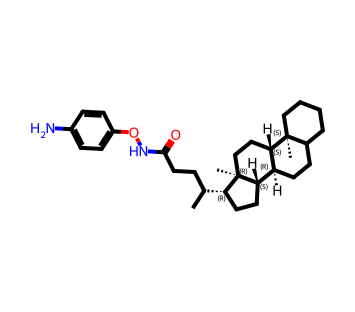 CC(CCC(=O)NOc1ccc(N)cc1)[C@H]1CC[C@H]2[C@@H]3CCC4CCCC[C@]4(C)[C@H]3CC[C@]12C